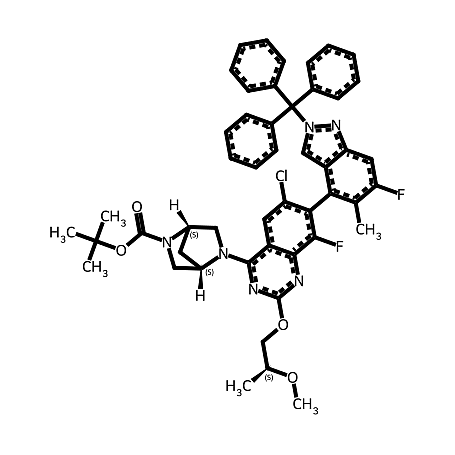 CO[C@@H](C)COc1nc(N2C[C@@H]3C[C@H]2CN3C(=O)OC(C)(C)C)c2cc(Cl)c(-c3c(C)c(F)cc4nn(C(c5ccccc5)(c5ccccc5)c5ccccc5)cc34)c(F)c2n1